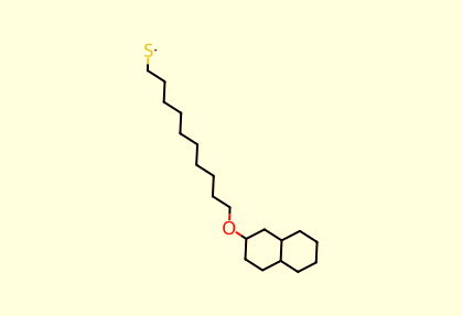 [S]CCCCCCCCCCOC1CCC2CCCCC2C1